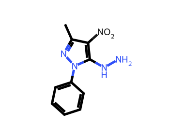 Cc1nn(-c2ccccc2)c(NN)c1[N+](=O)[O-]